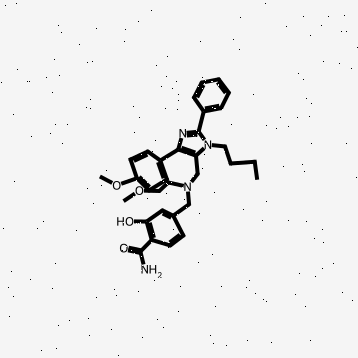 CCCCn1c(-c2ccccc2)nc(-c2ccc(OC)cc2)c1CN(CCOC)Cc1ccc(C(N)=O)c(O)c1